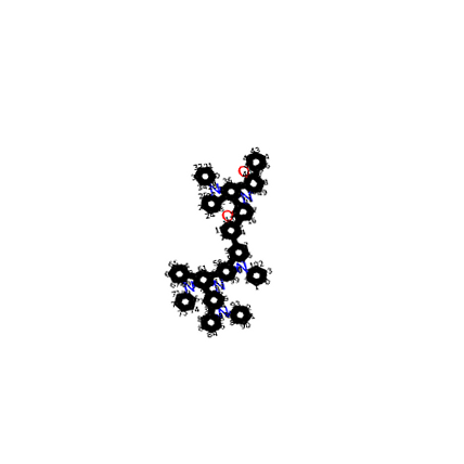 c1ccc(-n2c3ccc(-c4ccc5oc6c(ccc7c6c6c8c9ccccc9n(-c9ccccc9)c8cc8c9c%10oc%11ccccc%11c%10ccc9n7c86)c5c4)cc3c3cc4c5cc6c7ccccc7n(-c7ccccc7)c6c6c7cc8c9ccccc9n(-c9ccccc9)c8cc7n(c4cc32)c56)cc1